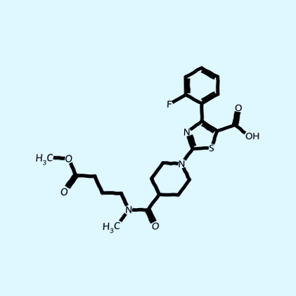 COC(=O)CCCN(C)C(=O)C1CCN(c2nc(-c3ccccc3F)c(C(=O)O)s2)CC1